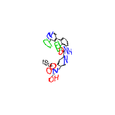 CC(C)(C)OC(=O)N(CCO)Cc1ccc(C(=O)Nc2cccc(-c3ccnc(Cl)c3Cl)c2Cl)nc1